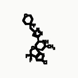 C[C@H]1C[C@@]2(C[C@@H](c3cn(CC4(F)CCOCC4)nn3)N1)OCC(F)(F)c1cc(Cl)sc12